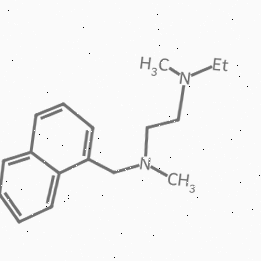 CCN(C)CCN(C)Cc1cccc2ccccc12